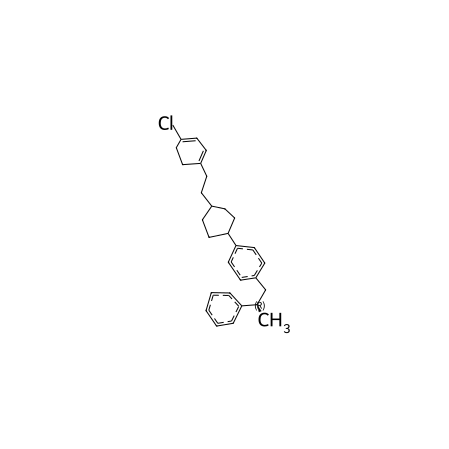 C[C@H](Cc1ccc(C2CCC(CCC3=CC=C(Cl)CC3)CC2)cc1)c1ccccc1